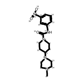 CN1CCN(C2CCN(C(=O)Nc3cccc([N+](=O)[O-])c3)CC2)CC1